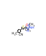 Cc1ccc(-c2csc(C3(C)CON(C)C(=N)N3)c2)cc1C#N